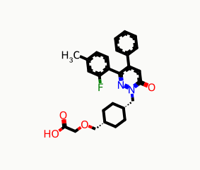 Cc1ccc(-c2nn(C[C@H]3CC[C@@H](COCC(=O)O)CC3)c(=O)cc2-c2ccccc2)c(F)c1